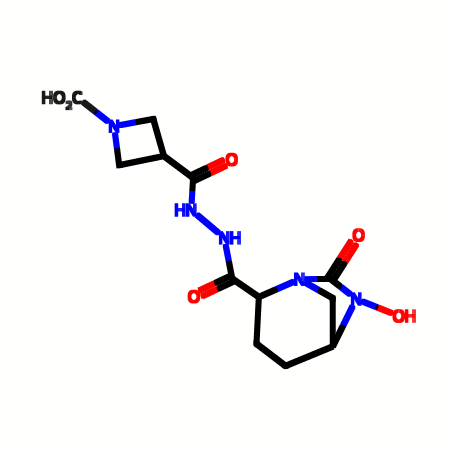 O=C(NNC(=O)C1CCC2CN1C(=O)N2O)C1CN(C(=O)O)C1